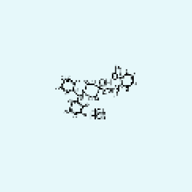 CC(C)Oc1ccccc1N(C)CCC1(O)CCN(C(c2ccccc2)c2ccccc2)CC1.Cl.Cl